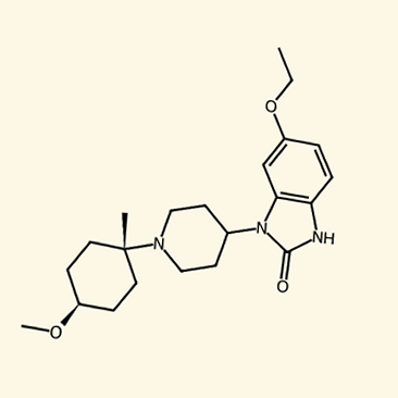 CCOc1ccc2[nH]c(=O)n(C3CCN([C@]4(C)CC[C@@H](OC)CC4)CC3)c2c1